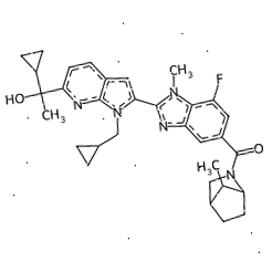 CC1C2CCC1N(C(=O)c1cc(F)c3c(c1)nc(-c1cc4ccc(C(C)(O)C5CC5)nc4n1CC1CC1)n3C)C2